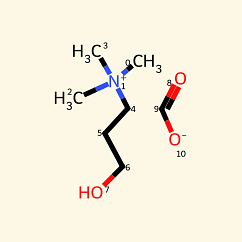 C[N+](C)(C)CCCO.O=C[O-]